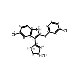 Cl.Clc1cccc(Cc2[nH]c3ccc(Cl)cc3c2C2=NCCN2)c1